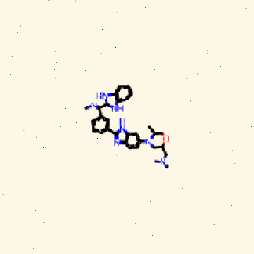 C/N=C(\c1cccc(-c2nc3ccc(N4CC(CN(C)C)OCC4C)cc3[nH]2)c1)C1Nc2ccccc2N1